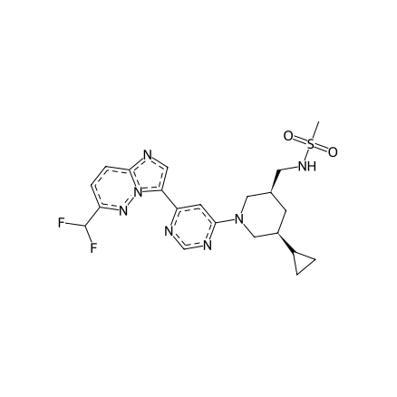 CS(=O)(=O)NC[C@H]1C[C@@H](C2CC2)CN(c2cc(-c3cnc4ccc(C(F)F)nn34)ncn2)C1